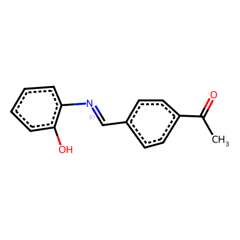 CC(=O)c1ccc(/C=N/c2ccccc2O)cc1